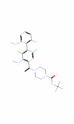 C=C(c1cc(Cl)c(-c2c(F)cccc2OC)c(F)c1NC)N1CCN(C(=O)OC(C)(C)C)CC1